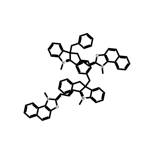 CN1/C(=C/C=C/C2=[N+](C)c3ccccc3C2(Cc2ccccc2)Cc2ccc(CC3(Cc4ccccc4)C(/C=C/C=C4\Oc5ccc6ccccc6c5N4C)=[N+](C)c4ccccc43)cc2)Oc2ccc3ccccc3c21